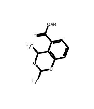 COC(=O)c1cccc2c1C(C)OC(C)O2